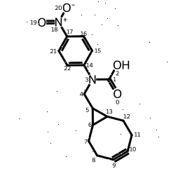 O=C(O)N(CC1C2CCC#CCCC21)c1ccc([N+](=O)[O-])cc1